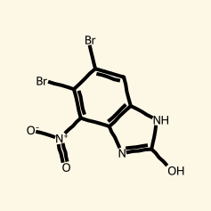 O=[N+]([O-])c1c(Br)c(Br)cc2[nH]c(O)nc12